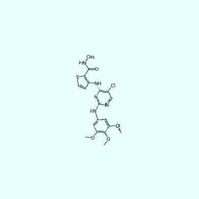 COc1cc(Nc2ncc(Cl)c(Nc3ccsc3C(=O)NO)n2)cc(OC)c1OC